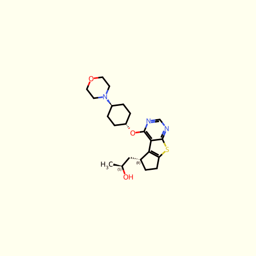 C[C@H](O)C[C@H]1CCc2sc3ncnc(O[C@H]4CC[C@H](N5CCOCC5)CC4)c3c21